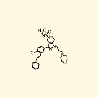 CS(=O)(=O)N1CCc2c(c(-c3ccc(Cl)c(/C=C/c4ccccc4)c3)nn2CCCN2CCOCC2)C1